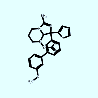 COc1cccc(-c2cccc(C3(c4ccco4)N=C(N)N4CCCN(OC(C)=O)C43)c2)c1